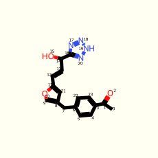 CC(=O)c1ccc(Cc2coc(C=CC(O)c3nn[nH]n3)c2)cc1